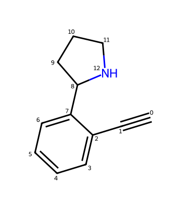 C#Cc1ccccc1C1CCCN1